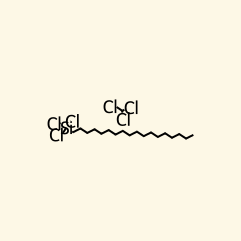 CCCCCCCCCCCCCCCCCC[Si](Cl)(Cl)Cl.ClC(Cl)Cl